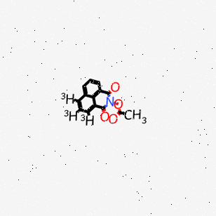 [3H]c1c([3H])c2c3c(cccc3c1[3H])C(=O)N(OC(C)=O)C2=O